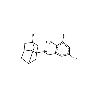 Nc1c(Br)cc(Br)cc1CNC12CC3CC(CC(F)(C3)C1)C2